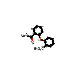 CCOC(=O)c1ccccc1Sc1ccccc1C(=O)NC